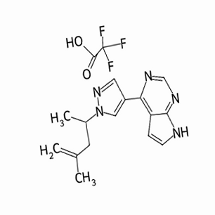 C=C(C)CC(C)n1cc(-c2ncnc3[nH]ccc23)cn1.O=C(O)C(F)(F)F